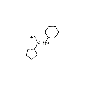 [NH]N(NC1CCCCC1)C1CCCC1